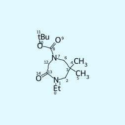 CCN1CC(C)(C)CN(C(=O)OC(C)(C)C)CC1=O